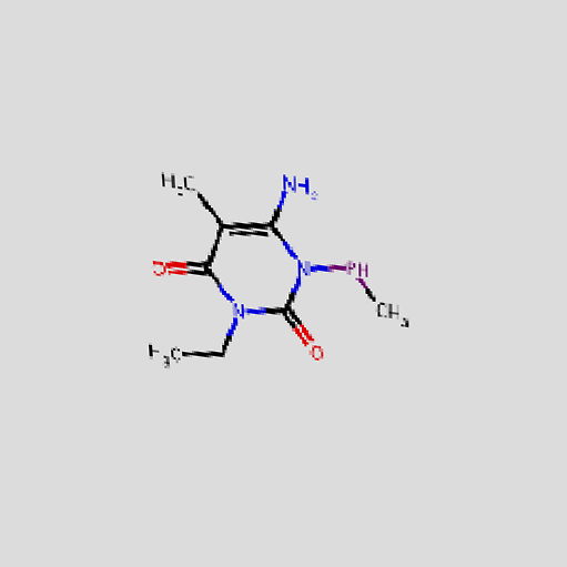 CCn1c(=O)c(C)c(N)n(PC)c1=O